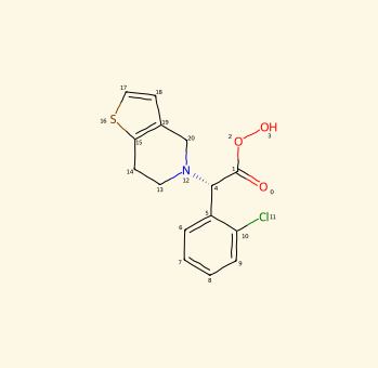 O=C(OO)[C@H](c1ccccc1Cl)N1CCc2sccc2C1